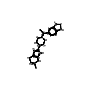 CC(c1ccc2c(c1)OCO2)N1CCN(c2nc3c(s2)CCN(C)C3)CC1